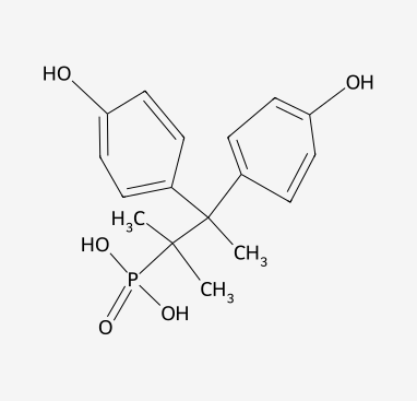 CC(c1ccc(O)cc1)(c1ccc(O)cc1)C(C)(C)P(=O)(O)O